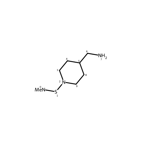 CNSN1CCC(CN)CC1